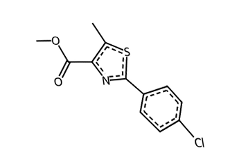 COC(=O)c1nc(-c2ccc(Cl)cc2)sc1C